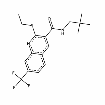 CCSc1nc2cc(C(F)(F)F)ccc2cc1C(=O)NCC(C)(C)C